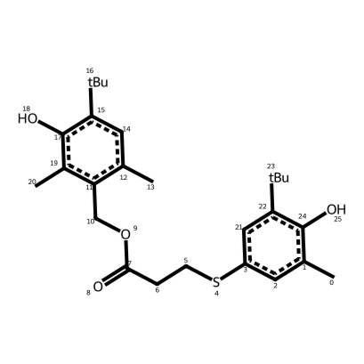 Cc1cc(SCCC(=O)OCc2c(C)cc(C(C)(C)C)c(O)c2C)cc(C(C)(C)C)c1O